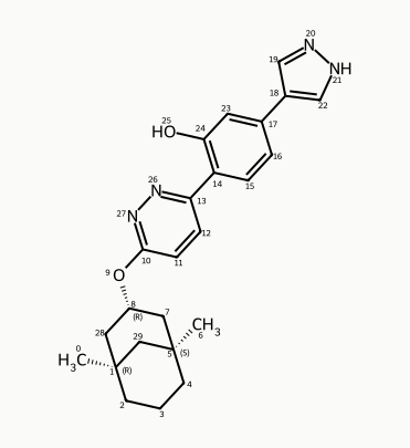 C[C@]12CCC[C@](C)(C[C@@H](Oc3ccc(-c4ccc(-c5cn[nH]c5)cc4O)nn3)C1)C2